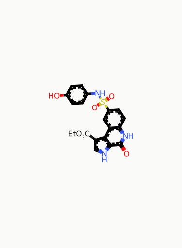 CCOC(=O)c1c[nH]c2c(=O)[nH]c3ccc(S(=O)(=O)Nc4ccc(O)cc4)cc3c12